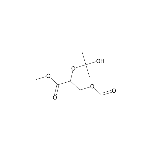 COC(=O)C(COC=O)OC(C)(C)O